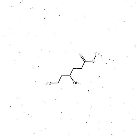 COC(=O)CCC(O)CCO